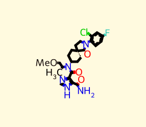 COCC(C)N(C(=O)c1nc[nH]c1C(N)=O)[C@H]1CC[C@@]2(CCN(c3ccc(F)cc3Cl)C2=O)CC1